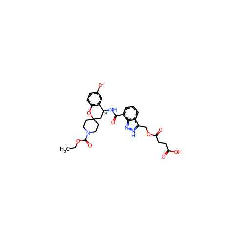 CCOC(=O)N1CCC2(CC1)C[C@H](NC(=O)c1cccc3c(COC(=O)CCC(=O)O)[nH]nc13)c1cc(Br)ccc1O2